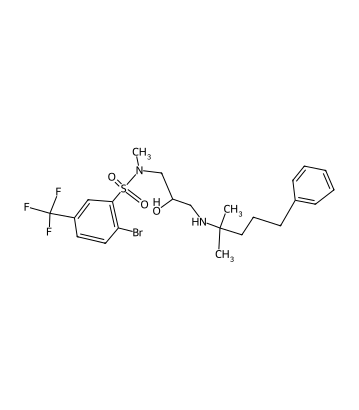 CN(CC(O)CNC(C)(C)CCCc1ccccc1)S(=O)(=O)c1cc(C(F)(F)F)ccc1Br